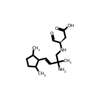 CC1CCC(C)C1C=CC(C)(N)CN[C@@H](C=O)CC(=O)O